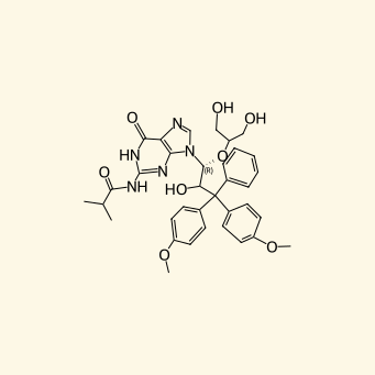 COc1ccc(C(c2ccccc2)(c2ccc(OC)cc2)C(O)[C@@H](OC(CO)CO)n2cnc3c(=O)[nH]c(NC(=O)C(C)C)nc32)cc1